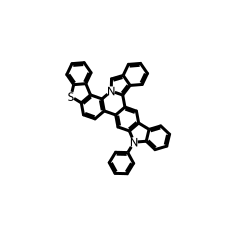 c1ccc(-n2c3ccccc3c3cc4c(cc32)c2ccc3sc5ccccc5c3c2n2cc3ccccc3c42)cc1